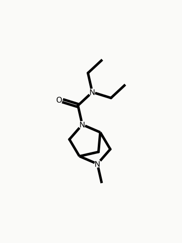 CCN(CC)C(=O)N1CC2CC1CN2C